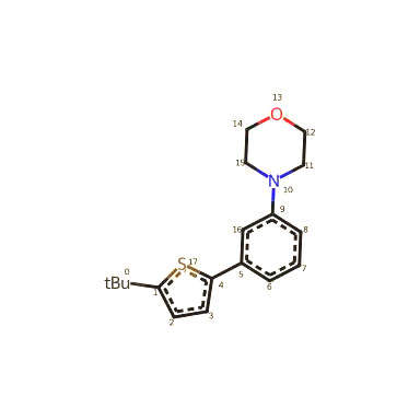 CC(C)(C)c1ccc(-c2cccc(N3CCOCC3)c2)s1